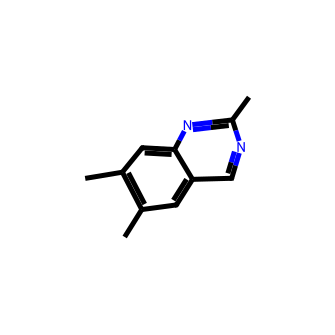 Cc1ncc2cc(C)c(C)cc2n1